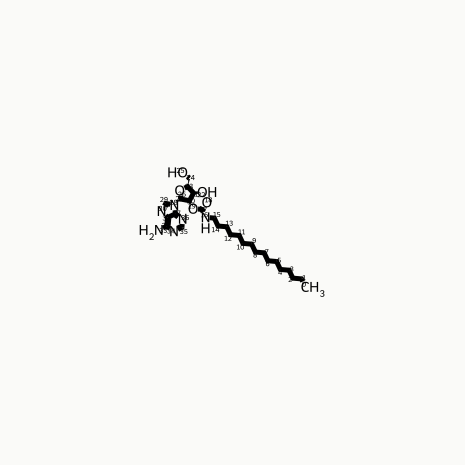 CCCCCCCCCCCCCCCCNC(=O)O[C@@H]1[C@H](O)[C@@H](CO)O[C@H]1n1cnc2c(N)ncnc21